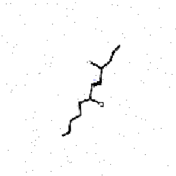 CCCCCC(Cl)/C=C/C(Cl)CCC